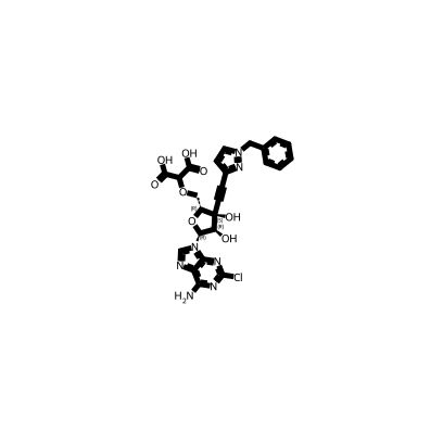 Nc1nc(Cl)nc2c1ncn2[C@@H]1O[C@H](COC(C(=O)O)C(=O)O)[C@](O)(C#Cc2ccn(Cc3ccccc3)n2)[C@H]1O